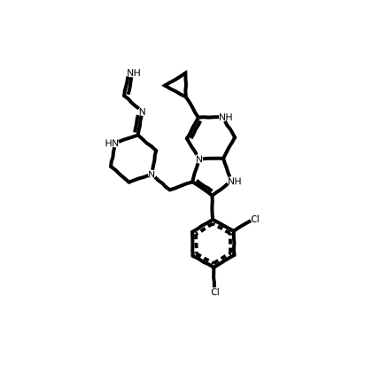 N=C/N=C1/CN(CC2=C(c3ccc(Cl)cc3Cl)NC3CNC(C4CC4)=CN23)CCN1